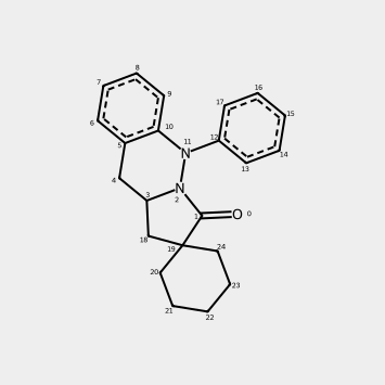 O=C1N2C(Cc3ccccc3N2c2ccccc2)CC12CCCCC2